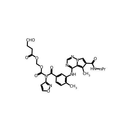 CCCNC(=O)c1cn2ncnc(Nc3cc(C(=O)N(C(=O)OCOC(=O)CCC=O)c4ccon4)ccc3C)c2c1C